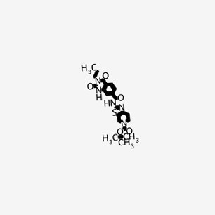 CCCn1c(=O)[nH]c2cc(C(=O)Nc3nc4c(s3)CN(C(=O)OC(C)(C)C)CC4)ccc2c1=O